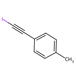 Cc1ccc(C#CI)cc1